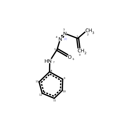 C=C(C)/N=N\C(=O)Nc1ccccc1